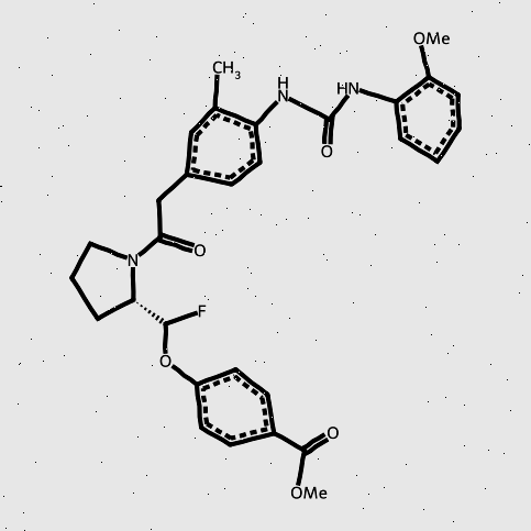 COC(=O)c1ccc(OC(F)[C@@H]2CCCN2C(=O)Cc2ccc(NC(=O)Nc3ccccc3OC)c(C)c2)cc1